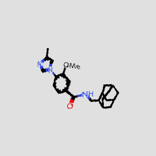 COc1cc(C(=O)NCC2C3CC4CC(C3)CC2C4)ccc1-n1cnc(C)c1